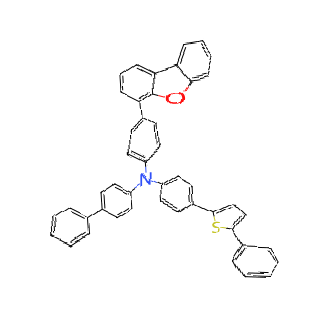 c1ccc(-c2ccc(N(c3ccc(-c4ccc(-c5ccccc5)s4)cc3)c3ccc(-c4cccc5c4oc4ccccc45)cc3)cc2)cc1